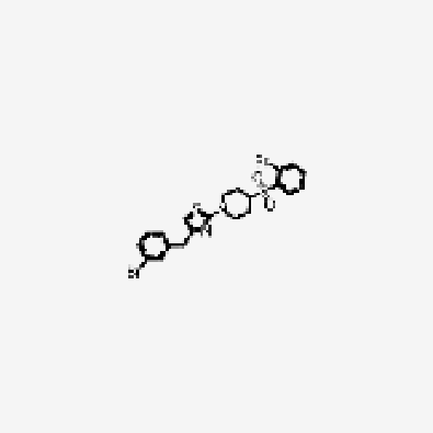 O=S(=O)(c1ccccc1Br)C1CCN(c2nc(Cc3cccc(Br)c3)cs2)CC1